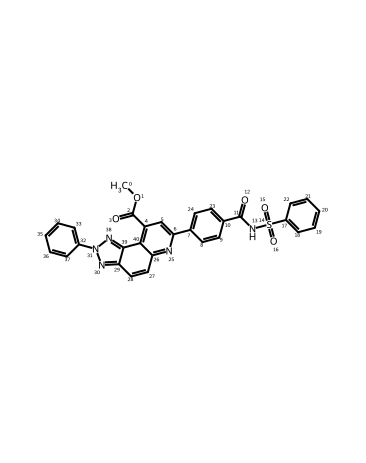 COC(=O)c1cc(-c2ccc(C(=O)NS(=O)(=O)c3ccccc3)cc2)nc2ccc3nn(-c4ccccc4)nc3c12